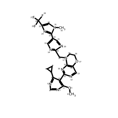 COc1ncnc(C2CC2)c1-c1ncc2c(n1)N(Cc1ncc(-c3nc(C(F)(F)F)cn3C)cn1)CCO2